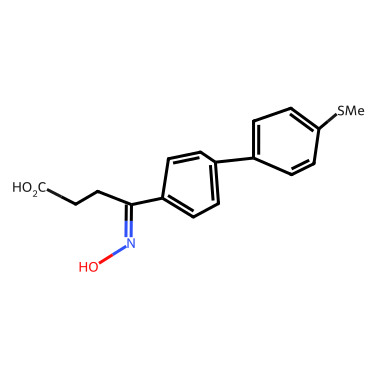 CSc1ccc(-c2ccc(C(CCC(=O)O)=NO)cc2)cc1